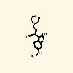 CNc1ccc2c(C(=C=O)CCN3CCNCC3)csc2c1.Cl